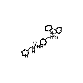 O=C(NCc1cccnc1)Nc1ccc(CNS(=O)(=O)c2ccccc2-c2ccccc2)cc1